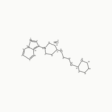 Cl.c1ccn2ncc(N3CCC(OCCOC4CCCCO4)CC3)c2c1